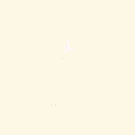 CC(C)(C)OC(=O)CC1=CCCc2c1cc1ccccn21